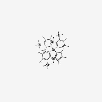 CC1=C(C)C(C)C([Si](c2cc(C)c(C)c([Si](C)(C)C)c2[Si](C)(C)C)(c2cc(C)c(C)c([Si](C)(C)C)c2[Si](C)(C)C)c2cc(C)c(C)c([Si](C)(C)C)c2[Si](C)(C)C)=C1C